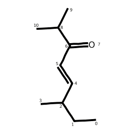 CCC(C)C=CC(=O)C(C)C